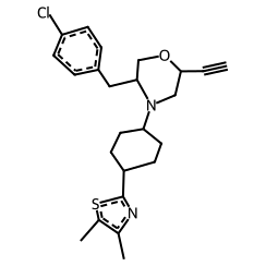 C#CC1CN(C2CCC(c3nc(C)c(C)s3)CC2)C(Cc2ccc(Cl)cc2)CO1